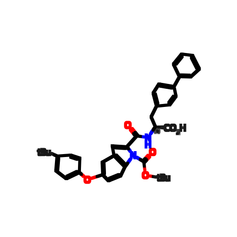 CC(C)(C)OC(=O)n1c(C(=O)N[C@@H](Cc2ccc(-c3ccccc3)cc2)C(=O)O)cc2cc(Oc3ccc(C(C)(C)C)cc3)ccc21